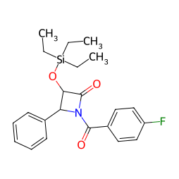 CC[Si](CC)(CC)OC1C(=O)N(C(=O)c2ccc(F)cc2)C1c1ccccc1